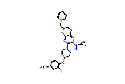 COc1ccc(OC2CCN(c3nc4c(nc3NC3CC3)CCN(Cc3ccccc3)C4)CC2)c(F)c1